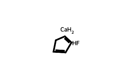 C1=CCC=C1.F.[CaH2]